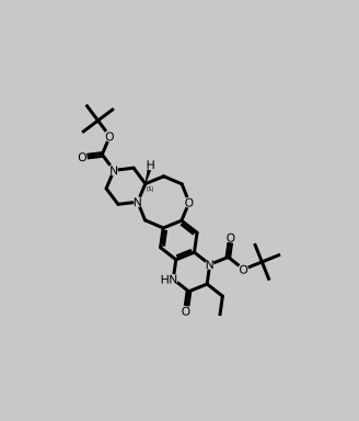 CCC1C(=O)Nc2cc3c(cc2N1C(=O)OC(C)(C)C)OCC[C@H]1CN(C(=O)OC(C)(C)C)CCN1C3